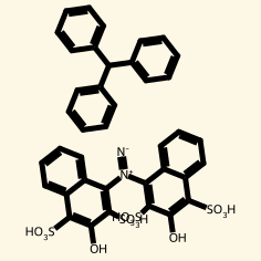 [N-]=[N+](c1c(S(=O)(=O)O)c(O)c(S(=O)(=O)O)c2ccccc12)c1c(S(=O)(=O)O)c(O)c(S(=O)(=O)O)c2ccccc12.c1ccc(C(c2ccccc2)c2ccccc2)cc1